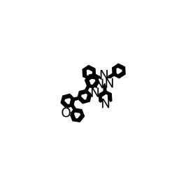 c1ccc(-c2nc(-c3ccccc3)nc(-c3ccncc3-n3c4ccccc4c4cc(-c5cccc6oc7ccccc7c56)ccc43)n2)cc1